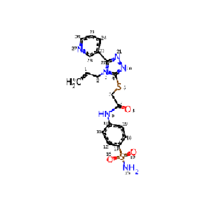 C=CCn1c(SCC(=O)Nc2ccc(S(N)(=O)=O)cc2)nnc1-c1cccnc1